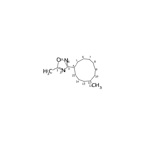 Cc1nc(C2CCCCCCC(C)CCC2)no1